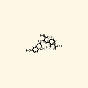 O=C(Cc1cc(O)ccc1O)NC(Cc1cccc(C(=O)O)c1O)B(O)O